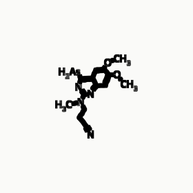 COc1cc2nc(N(C)CCC#N)nc([AsH2])c2cc1OC